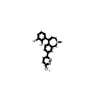 CN1CC=C(c2cccc(F)c2F)c2ccc(-c3ccc(C(F)(F)F)nn3)cc2C1